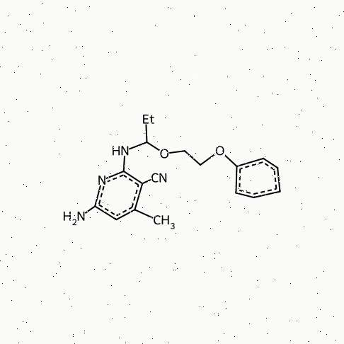 CCC(Nc1nc(N)cc(C)c1C#N)OCCOc1ccccc1